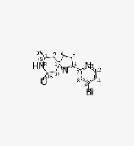 C[C@H]1CC2(CCC(c3cc(Br)ccn3)=N2)CC(=O)N1